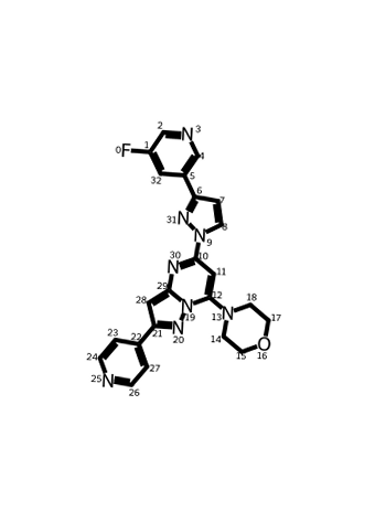 Fc1cncc(-c2ccn(-c3cc(N4CCOCC4)n4nc(-c5ccncc5)cc4n3)n2)c1